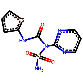 NS(=O)(=O)N(C(=O)Nc1cccs1)c1ncccn1